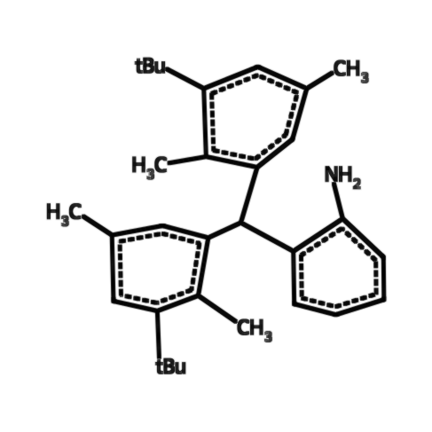 Cc1cc(C(c2ccccc2N)c2cc(C)cc(C(C)(C)C)c2C)c(C)c(C(C)(C)C)c1